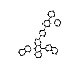 c1ccc(-c2cnc(-c3ccc(-c4ccc5c(-c6ccc7ccccc7c6)c6ccccc6c(-c6ccc7ccccc7c6)c5c4)cc3)cc2-c2ccccc2)cc1